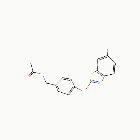 CNC(=O)NCc1ccc(Oc2nc3ccc(Cl)cc3s2)cc1